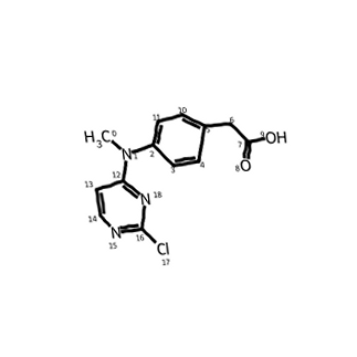 CN(c1ccc(CC(=O)O)cc1)c1ccnc(Cl)n1